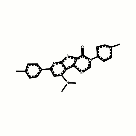 Cc1ccc(-c2cc(N(C)C)c3c(n2)sc2c(=O)n(-c4ccc(C)cc4)cnc23)cc1